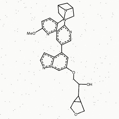 COc1ccc(CN2C3CC2CN(c2ccc(-c4cc(OCC(O)C5C6COCC65)cn5nccc45)cn2)C3)cn1